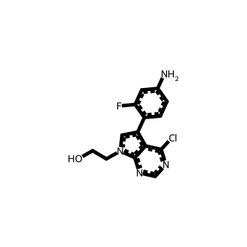 Nc1ccc(-c2cn(CCO)c3ncnc(Cl)c23)c(F)c1